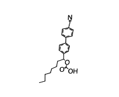 CCCCCCCC(OC(=O)O)c1ccc(-c2ccc(C#N)cc2)cc1